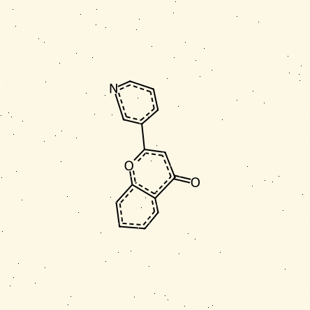 O=c1cc(-c2cccnc2)oc2ccccc12